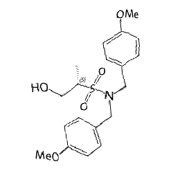 COc1ccc(CN(Cc2ccc(OC)cc2)S(=O)(=O)[C@@H](C)CO)cc1